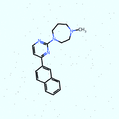 CN1CCCN(c2nccc(-c3ccc4ccccc4c3)n2)CC1